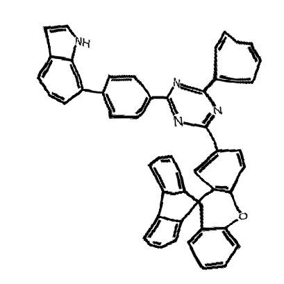 c1ccc(-c2nc(-c3ccc(-c4cccc5cc[nH]c45)cc3)nc(-c3ccc4c(c3)C3(c5ccccc5O4)c4ccccc4-c4ccccc43)n2)cc1